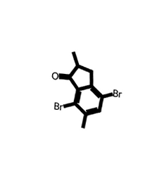 Cc1cc(Br)c2c(c1Br)C(=O)C(C)C2